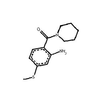 CSc1ccc(C(=O)N2CCCCC2)c(N)c1